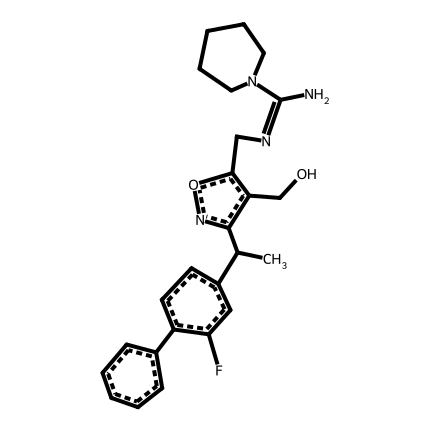 CC(c1ccc(-c2ccccc2)c(F)c1)c1noc(CN=C(N)N2CCCCC2)c1CO